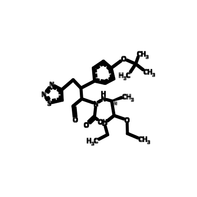 CCOC(OCC)[C@H](C)NN(C(=O)O)C(C=O)C(Cc1csnn1)c1ccc(OC(C)(C)C)cc1